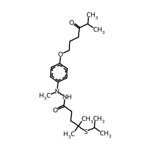 CC(C)SC(C)(C)CCC(=O)NN(C)c1ccc(OCCCC(=O)C(C)C)cc1